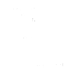 Cc1c(O)ccc2cc(C(=O)C3CCCN(C(=O)OC(C)(C)C)C3)ccc12